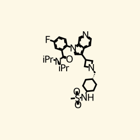 CC(C)N(C(=O)c1cc(F)ccc1-n1cc(C2CN(C[C@H]3CC[C@H](NS(C)(=O)=O)CC3)C2)c2ccncc21)C(C)C